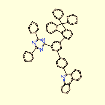 c1ccc(-c2nc(-c3ccccc3)nc(-c3cc(-c4ccc(-c5nc6ccccc6c6ccccc56)cc4)cc(-c4cccc5c4-c4ccccc4C5(c4ccccc4)c4ccccc4)c3)n2)cc1